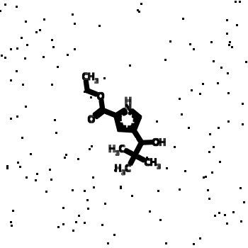 CCOC(=O)c1cc(C(O)C(C)(C)C)c[nH]1